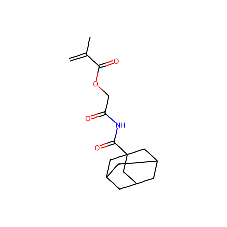 C=C(C)C(=O)OCC(=O)NC(=O)C12CC3CC(CC(C3)C1)C2